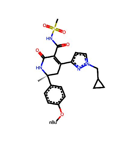 CCCCOc1ccc([C@]2(C)CC(c3ccn(CC4CC4)n3)=C(C(=O)NS(C)(=O)=O)C(=O)N2)cc1